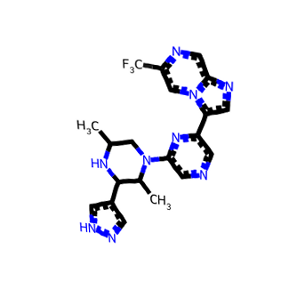 CC1CN(c2cncc(-c3cnc4cnc(C(F)(F)F)cn34)n2)C(C)C(c2cn[nH]c2)N1